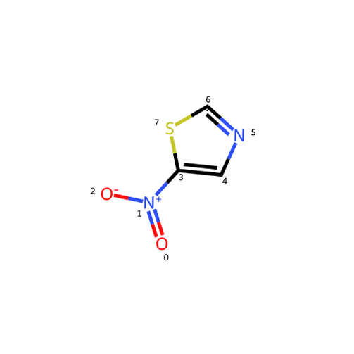 O=[N+]([O-])c1cn[c]s1